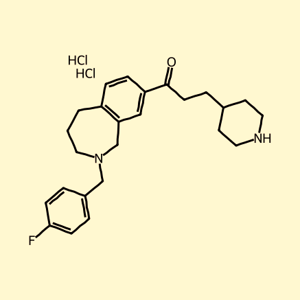 Cl.Cl.O=C(CCC1CCNCC1)c1ccc2c(c1)CN(Cc1ccc(F)cc1)CCC2